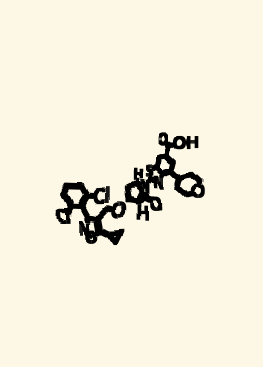 O=C(O)c1cc(C2CCOCC2)c2nc(N3C(=O)[C@@H]4C[C@H]3C[C@H]4OCc3c(-c4c(Cl)cccc4Cl)noc3C3CC3)sc2c1